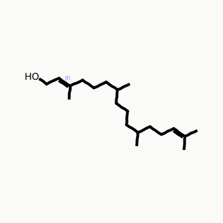 CC(C)=CCCC(C)CCCC(C)CCC/C(C)=C/CO